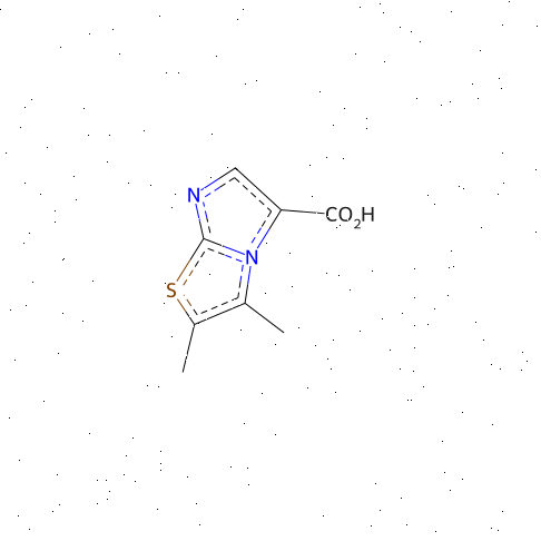 Cc1sc2ncc(C(=O)O)n2c1C